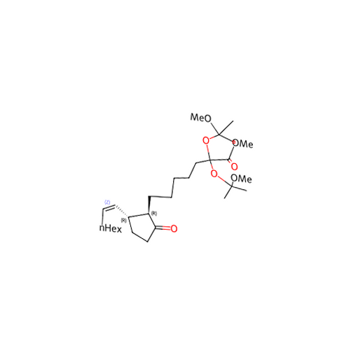 CCCCCC/C=C\[C@H]1CCC(=O)[C@@H]1CCCCCC(OC(C)(C)OC)(OC(C)(C)OC)C(=O)OC